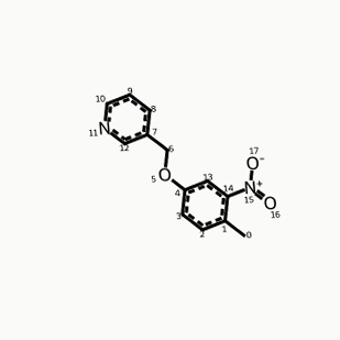 Cc1ccc(OCc2cccnc2)cc1[N+](=O)[O-]